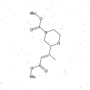 C/C(=C\C(=O)OC(C)(C)C)C1CN(C(=O)OC(C)(C)C)CCO1